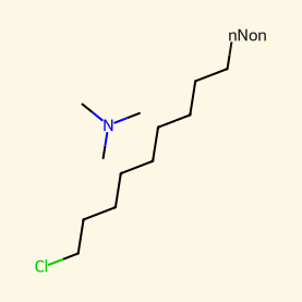 CCCCCCCCCCCCCCCCCCCl.CN(C)C